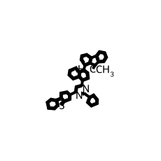 CC1(C)c2ccccc2-c2cccc(-c3ccc(-c4cc(-c5ccc6c(c5)sc5ccccc56)nc(-c5ccccc5)n4)c4ccccc34)c21